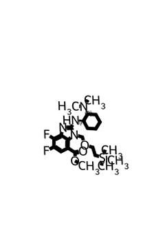 COC(=O)c1cc(F)c(F)c2nc(N[C@@H]3CCCC[C@H]3N(C)C)n(COCC[Si](C)(C)C)c12